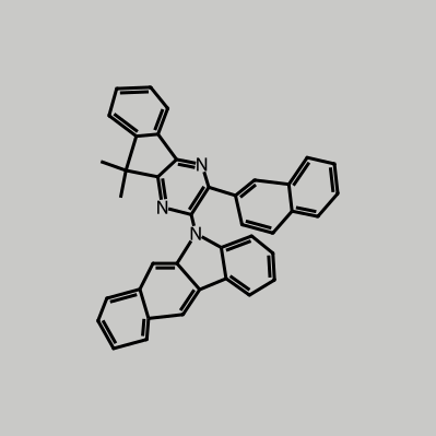 CC1(C)c2ccccc2-c2nc(-c3ccc4ccccc4c3)c(-n3c4ccccc4c4cc5ccccc5cc43)nc21